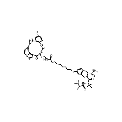 CN[C@H](C)C(=O)N[C@@H](C(=O)N1Cc2cc(OCCCCCCCCC(=O)NCCN3C[C@H](C)Oc4ccc(F)cc4C(C)Nc4ccn5ncc(c5n4)C3=O)ccc2C[C@@H]1C(N)=O)C(C)(C)C